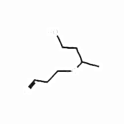 CC(CCO)OCCC=O